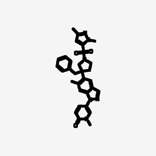 Cc1cc(S(=O)(=O)N2CCC(Cc3ccccc3)(c3cc4cnn(-c5ccc(=O)n(C)c5)c4cc3C)C2)n(C)n1